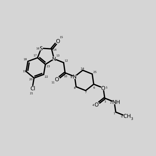 CCNC(=O)OC1CCN(C(=O)Cn2c(=O)sc3ccc(Cl)cc32)CC1